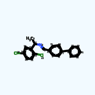 CC(N=Cc1ccc(-c2ccccc2)cc1)c1cc(Cl)ccc1Cl